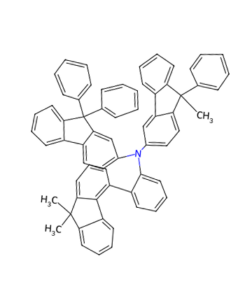 CC1(C)c2ccccc2-c2c(-c3ccccc3N(c3ccc4c(c3)-c3ccccc3C4(C)c3ccccc3)c3ccc4c(c3)C(c3ccccc3)(c3ccccc3)c3ccccc3-4)cccc21